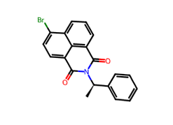 C[C@H](c1ccccc1)N1C(=O)c2cccc3c(Br)ccc(c23)C1=O